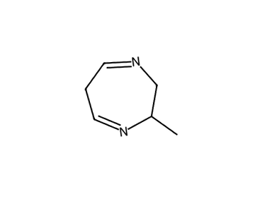 CC1CN=CCC=N1